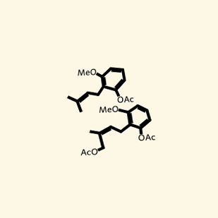 COc1cccc(OC(C)=O)c1CC=C(C)C.COc1cccc(OC(C)=O)c1CC=C(C)COC(C)=O